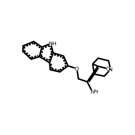 CCCC(COc1ccc2c(c1)[nH]c1ccccc12)=C1CN2CCC1CC2